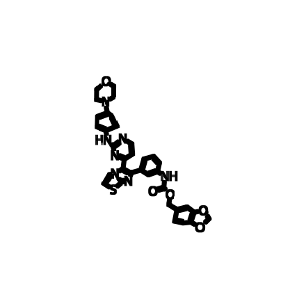 O=C(Nc1cccc(-c2nc3sccn3c2-c2ccnc(Nc3ccc(N4CCOCC4)cc3)n2)c1)OCc1ccc2c(c1)OCO2